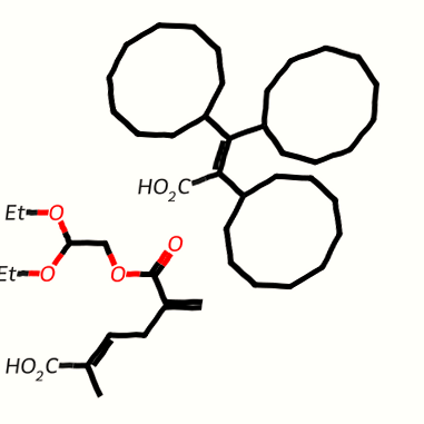 C=C(CC=C(C)C(=O)O)C(=O)OCC(OCC)OCC.O=C(O)C(=C(C1CCCCCCCCC1)C1CCCCCCCCC1)C1CCCCCCCCC1